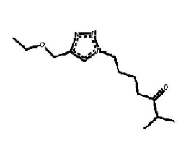 CCOCc1cn(CCCCC(=O)C(C)C)nn1